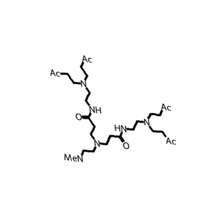 CNCCN(CCC(=O)NCCN(CCC(C)=O)CCC(C)=O)CCC(=O)NCCN(CCC(C)=O)CCC(C)=O